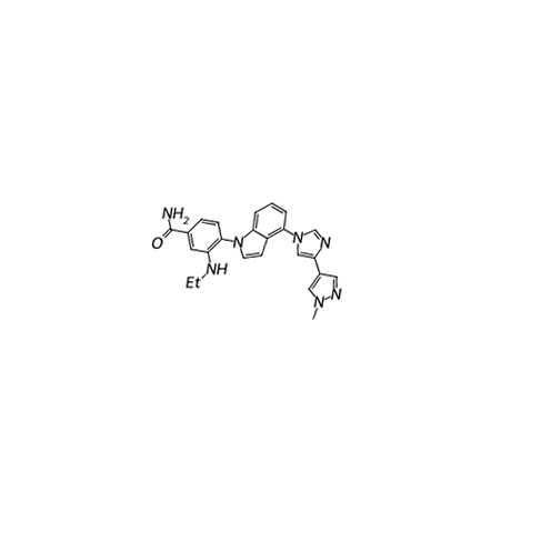 CCNc1cc(C(N)=O)ccc1-n1ccc2c(-n3cnc(-c4cnn(C)c4)c3)cccc21